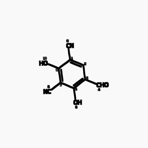 N#Cc1cc(C=O)c(O)c(C#N)c1O